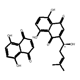 CC(C)=CC[C@H](O)C1=CC(=O)c2c(O)ccc(O)c2C1=O.O=C1C=CC(=O)c2c(O)ccc(O)c21